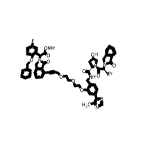 COC(=O)C(c1cc(F)ccc1OCc1ccccc1)N1Cc2cccc(C#CCOCCOCCOc3cc(-c4scnc4C)ccc3CNC(=O)[C@@H]3C[C@@H](O)CN3C(=O)[C@H](C(C)C)N3Cc4ccccc4C3=O)c2C1=O